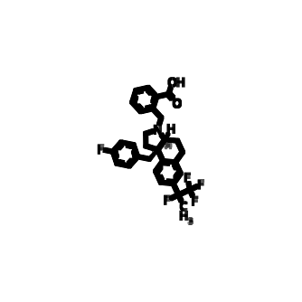 CC(F)(c1ccc2c(c1)CC[C@H]1N(Cc3ccccc3C(=O)O)CC[C@@]21Cc1ccc(F)cc1)C(F)(F)F